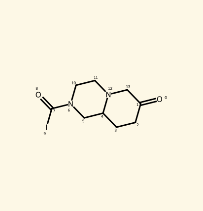 O=C1CCC2CN(C(=O)I)CCN2C1